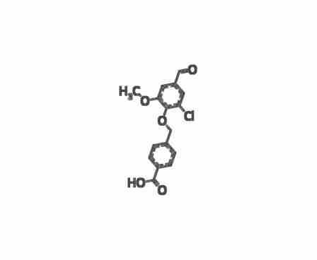 COc1cc(C=O)cc(Cl)c1OCc1ccc(C(=O)O)cc1